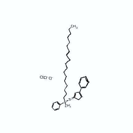 CCCCCCCCCCCCCCCCCC[Si](C)([Ti+3][C]1=CC(c2ccccc2)=CC1)c1ccccc1.[Cl-].[Cl-].[Cl-]